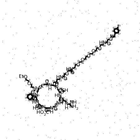 CCOCCOCCNC(=O)[C@@H]1CSCCC(=O)N[C@@H](CCCCNC(=O)COCC(=O)NCCOCCOCCOCCOCCOCCNC(=O)CO/N=C/c2ccc(I)cc2)C(=O)N[C@@H](CS)C(=O)N[C@@H](CCCNC(=N)N)C(=O)NCC(=O)N[C@@H](CC(=O)O)C(=O)N[C@@H](CS)C(=O)N[C@@H](Cc2ccccc2)C(=O)N1